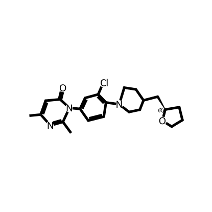 Cc1cc(=O)n(-c2ccc(N3CCC(C[C@H]4CCCO4)CC3)c(Cl)c2)c(C)n1